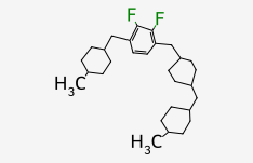 CC1CCC(Cc2ccc(CC3CCC(CC4CCC(C)CC4)CC3)c(F)c2F)CC1